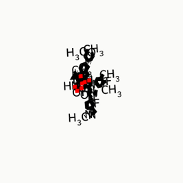 Cc1cc(-n2nc3c(c2-n2ccn(-c4ccc5c(cnn5C)c4F)c2=O)[C@@H]2CC[C@H](C3F)N2C(=O)c2cc3cc([C@H]4CCOC(C)(C)C4)ccc3n2[C@@]2(c3noc(=O)[nH]3)C[C@@H]2C)cc(C)c1F